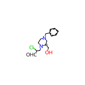 O=CC(Cl)CN1CCN(Cc2ccccc2)C[C@H]1CO